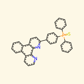 S=P(c1ccccc1)(c1ccccc1)c1ccc(-c2ccc3c4ccccc4c4cccnc4c3n2)cc1